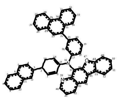 C1=CC(c2ccc3ccccc3c2)CC=C1N(c1cccc(-c2cc3ccccc3c3ccccc23)c1)c1c2ncccc2cc2c1oc1ccccc12